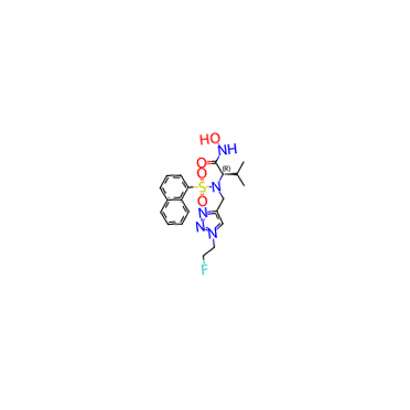 CC(C)[C@H](C(=O)NO)N(Cc1cn(CCF)nn1)S(=O)(=O)c1cccc2ccccc12